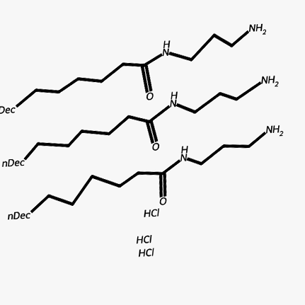 CCCCCCCCCCCCCCCC(=O)NCCCN.CCCCCCCCCCCCCCCC(=O)NCCCN.CCCCCCCCCCCCCCCC(=O)NCCCN.Cl.Cl.Cl